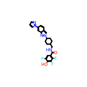 O=C(NCC1CCC(n2cc3ccc(-n4cccn4)cc3n2)CC1)c1cc(F)c(O)c(F)c1F